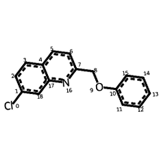 Clc1ccc2ccc(COc3c[c]ccc3)nc2c1